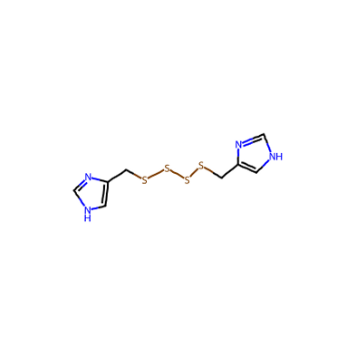 c1nc(CSSSSCc2c[nH]cn2)c[nH]1